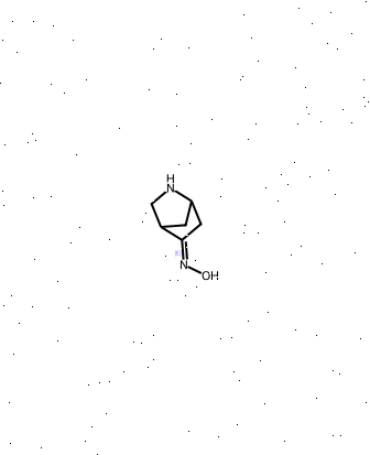 O/N=C1\CC2CC1CN2